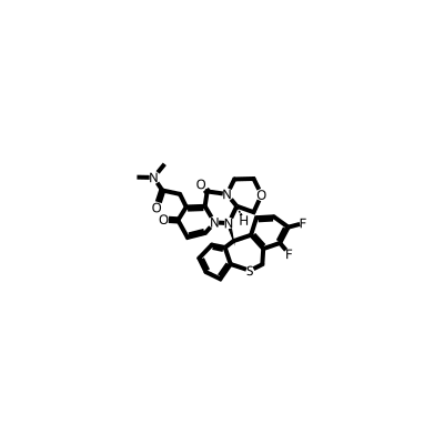 CN(C)C(=O)Cc1c2n(ccc1=O)N([C@@H]1c3ccccc3SCc3c1ccc(F)c3F)[C@@H]1COCCN1C2=O